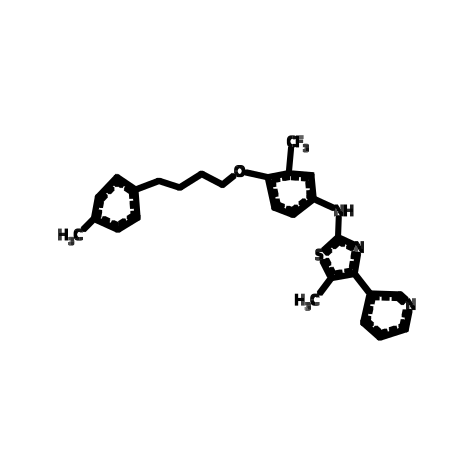 Cc1ccc(CCCCOc2ccc(Nc3nc(-c4cccnc4)c(C)s3)cc2C(F)(F)F)cc1